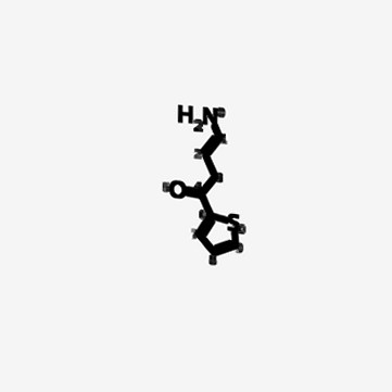 NC=CCC(=O)c1cccs1